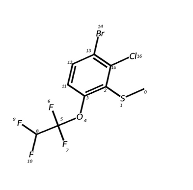 CSc1c(OC(F)(F)C(F)F)ccc(Br)c1Cl